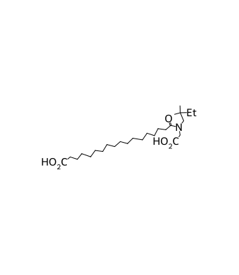 CCC(C)(C)CN(CC(=O)O)C(=O)CCCCCCCCCCCCCCCCC(=O)O